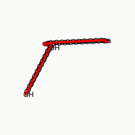 OCCOCCOCCOCCOCCOCCOCCOCCOCCOCCOCCOCCOCCOCCOCCOCCOCCOCCOCCOC(CO)SSC(COCc1ccccc1)OCCOCCOCCOCCOCCOCCOCCOCCOCCOCCOCCOCCOCCOCCOCCOCCOCCOCCOCCOCc1ccccc1